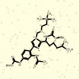 COC(=O)Nc1ccc(-c2cn(COCC[Si](C)(C)C)c(C(CCCC(C)C(=O)O)NC(=O)OC(C)(C)C)n2)c(NC(=O)C(F)(F)F)c1